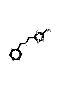 Nc1nc(COCc2ccccc2)ns1